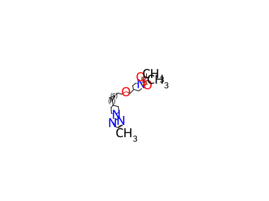 Cc1cnc(N2CCC([C@H]3C[C@H]3CCOCC3CCN(S(=O)(=O)C(C)C)CC3)CC2)nc1